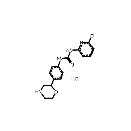 Cl.O=C(Nc1ccc(C2CNCCO2)cc1)Nc1cccc(Cl)n1